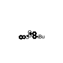 CCC(C)c1cccc2c(C(=O)OCOC3Cc4ccccc4C3)cccc12